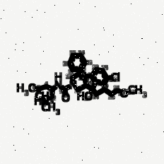 CNCC(CC(C)C)NC(=O)N1CCCC(C(O)(CCCCOC)c2cc(Cl)ccc2Oc2ccccc2)C1